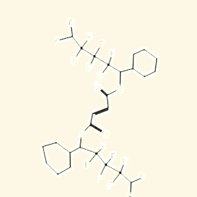 O=C(/C=C/C(=O)OC(C1CCCCC1)C(F)(F)C(F)(F)C(F)(F)C(F)F)OC(C1CCCCC1)C(F)(F)C(F)(F)C(F)(F)C(F)F